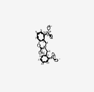 O=C(O)N(Cc1ccccc1[N+](=O)[O-])Cc1ccccc1[N+](=O)[O-]